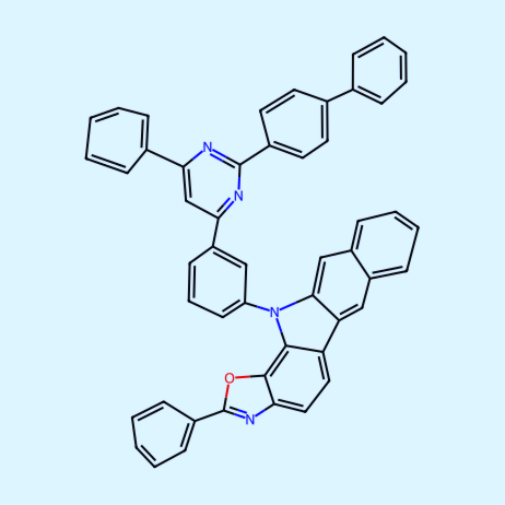 c1ccc(-c2ccc(-c3nc(-c4ccccc4)cc(-c4cccc(-n5c6cc7ccccc7cc6c6ccc7nc(-c8ccccc8)oc7c65)c4)n3)cc2)cc1